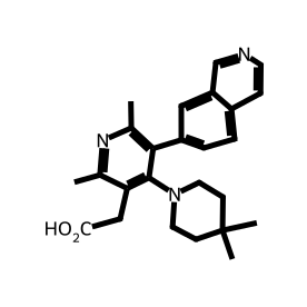 Cc1nc(C)c(-c2ccc3ccncc3c2)c(N2CCC(C)(C)CC2)c1CC(=O)O